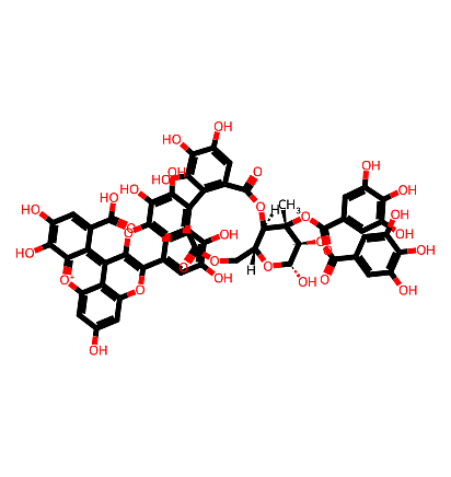 C[C@]1(OC(=O)c2cc(O)c(O)c(O)c2)[C@@H]2OC(=O)c3cc(O)c(O)c(O)c3-c3c(cc(OC4=C(c5ccc(O)c(O)c5)Oc5cc(O)cc6[o+]c7c(O)c(O)cc(C(=O)O)c7c4c56)c(O)c3O)C(=O)OC[C@H]2O[C@@H](O)[C@@H]1OC(=O)c1cc(O)c(O)c(O)c1